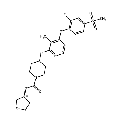 Cc1c(Oc2ccc(S(C)(=O)=O)cc2F)ncnc1OC1CCN(C(=O)O[C@H]2CCOC2)CC1